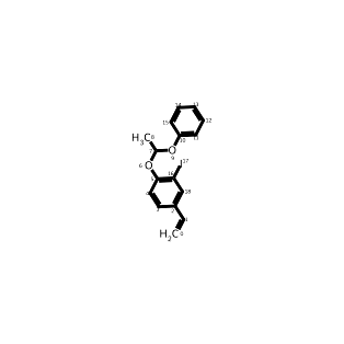 C=Cc1ccc(OC(C)Oc2ccccc2)c(I)c1